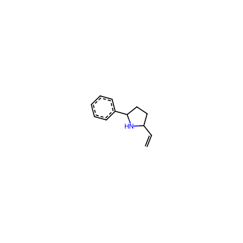 C=CC1CCC(c2ccccc2)N1